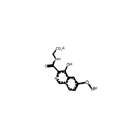 CCCCOc1ccc2cnc(C(=O)NCC(=O)O)c(O)c2c1